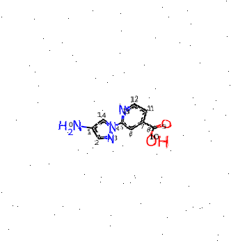 Nc1cnn(-c2cc(C(=O)O)ccn2)c1